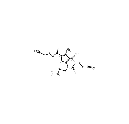 C#CCCOC(=O)c1sc2c(c1C)c(=O)n(CCC#C)c(=O)n2CCOC